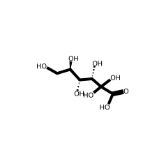 O=C(O)C(O)(O)[C@@H](O)[C@H](O)[C@H](O)CO